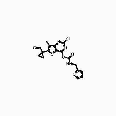 Cc1c(C2(C=O)CC2)sc2c(OC(=O)NCc3ccco3)nc(Cl)nc12